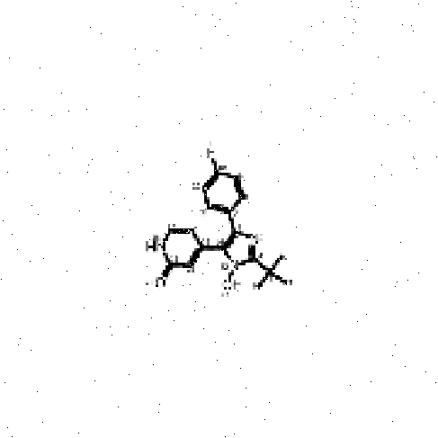 CC(C)(C)c1nc(-c2ccc(F)cc2)c(-c2cc[nH]c(=O)c2)n1O